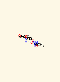 Cc1cc(CNC(=O)OC2CCc3c(sc(NC(=O)C=Cc4ccoc4)c3C#N)C2)no1